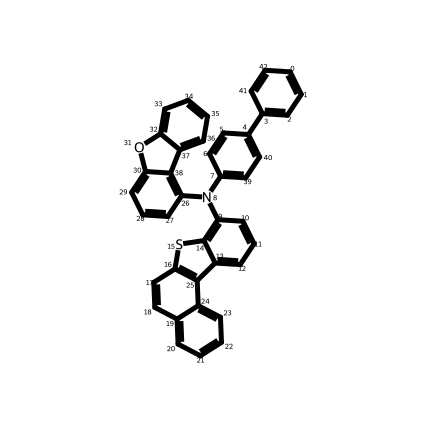 c1ccc(-c2ccc(N(c3cccc4c3sc3ccc5ccccc5c34)c3cccc4oc5ccccc5c34)cc2)cc1